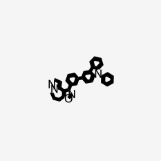 c1ccc(-n2c3ccccc3c3cc(-c4cccc(-c5noc6c5-c5ccnn5CCC6)c4)ccc32)cc1